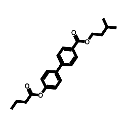 CCCC(=O)Oc1ccc(-c2ccc(C(=O)OCCC(C)C)cc2)cc1